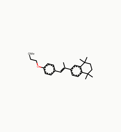 COCCOc1ccc(C=C(C)c2ccc3c(c2)C(C)(C)CCC3(C)C)cc1